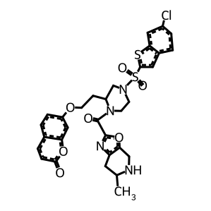 CC1Cc2nc(C(=O)N3CCN(S(=O)(=O)c4cc5ccc(Cl)cc5s4)CC3CCOc3ccc4ccc(=O)oc4c3)oc2CN1